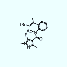 CC(=O)N(C(=O)c1c(C)nn(C)c1F)c1ccccc1C(C)=CC(C)(C)C